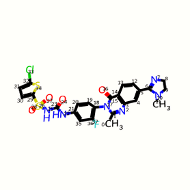 Cc1nc2cc(C3=NCCN3C)ccc2c(=O)n1-c1ccc(NC(=O)NS(=O)(=O)c2ccc(Cl)s2)cc1F